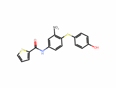 O=C(Nc1ccc(Sc2ccc(O)cc2)c([N+](=O)[O-])c1)c1cccs1